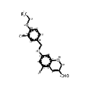 O=CC1=Cc2c(F)cc(OCc3ccc(OCC(F)(F)F)c(Cl)c3)cc2OC1